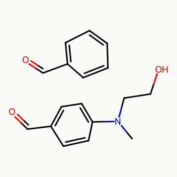 CN(CCO)c1ccc(C=O)cc1.O=Cc1ccccc1